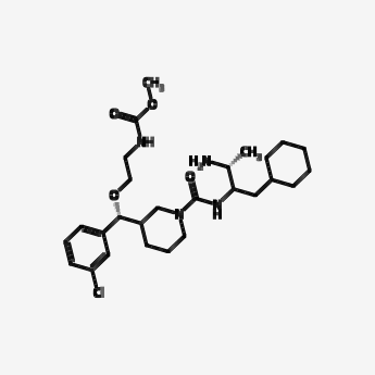 COC(=O)NCCO[C@@H](c1cccc(Cl)c1)C1CCCN(C(=O)NC(CC2CCCCC2)[C@@H](C)N)C1